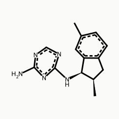 Cc1ccc2c(c1)[C@H](Nc1ncnc(N)n1)[C@H](C)C2